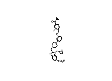 O=C(O)c1ccc2nc(CC3CCN(c4cccc(OCc5ccc(C(=O)C6CC6)cc5F)n4)CC3)n(C[C@@H]3CCO3)c2c1